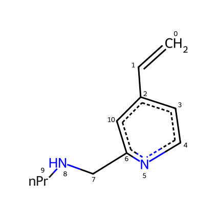 C=Cc1ccnc(CNCCC)c1